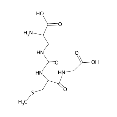 CSCC(NC(=O)NCC(N)C(=O)O)C(=O)NCC(=O)O